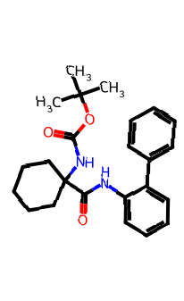 CC(C)(C)OC(=O)NC1(C(=O)Nc2ccccc2-c2ccccc2)CCCCC1